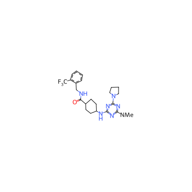 CNc1nc(NC2CCC(C(=O)NCc3ccccc3C(F)(F)F)CC2)nc(N2CCCC2)n1